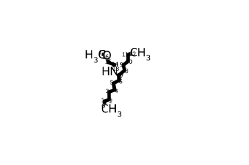 CCCCCCCC(CCCCC)NCCOC